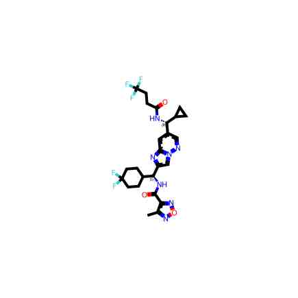 Cc1nonc1C(=O)N[C@H](c1cn2ncc([C@H](NC(=O)CCC(F)(F)F)C3CC3)cc2n1)C1CCC(F)(F)CC1